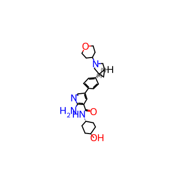 Nc1ncc(-c2ccc([C@@]34C[C@@H]3CN(C3CCOCC3)C4)cc2)cc1C(=O)N[C@H]1CC[C@H](O)CC1